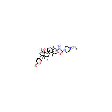 CN1CCN(C(=O)N[C@H]2CC[C@@]3(C)[C@H](CC[C@@H]4[C@@H]3CC[C@]3(C)[C@@H](c5ccc(=O)oc5)C[C@H]5O[C@]453)C2)CC1